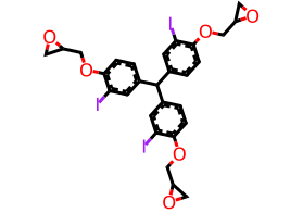 Ic1cc(C(c2ccc(OCC3CO3)c(I)c2)c2ccc(OCC3CO3)c(I)c2)ccc1OCC1CO1